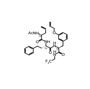 C=CCOc1cccc(C[C@H](NC(=O)[C@H](CCc2ccccc2)NC(=O)[C@H](CC=C)NC(C)=O)C(=O)NCC(F)(F)F)c1